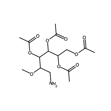 COC(CN)C(OC(C)=O)C(OC(C)=O)C(COC(C)=O)OC(C)=O